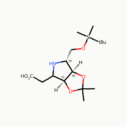 CC1(C)O[C@@H]2[C@@H](CO[Si](C)(C)C(C)(C)C)NC(CC(=O)O)[C@@H]2O1